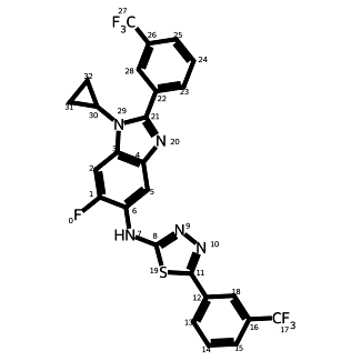 Fc1cc2c(cc1Nc1nnc(-c3cccc(C(F)(F)F)c3)s1)nc(-c1cccc(C(F)(F)F)c1)n2C1CC1